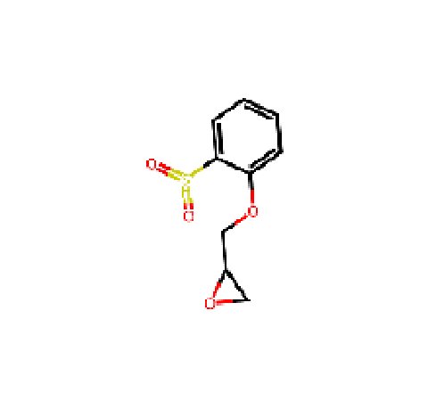 O=[SH](=O)c1ccccc1OCC1CO1